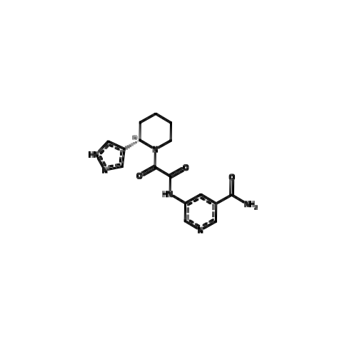 NC(=O)c1cncc(NC(=O)C(=O)N2CCCC[C@H]2c2cn[nH]c2)c1